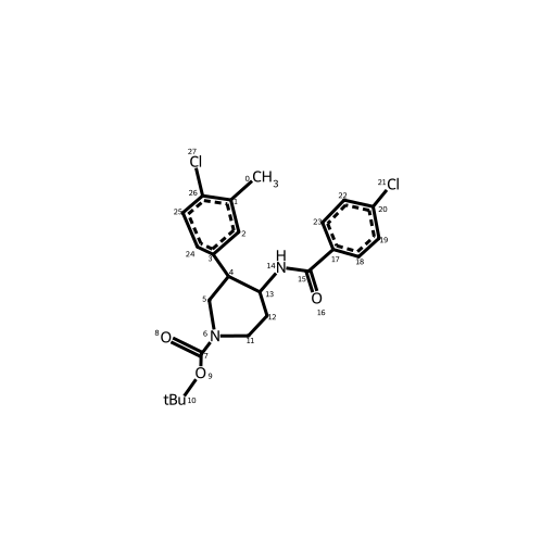 Cc1cc(C2CN(C(=O)OC(C)(C)C)CCC2NC(=O)c2ccc(Cl)cc2)ccc1Cl